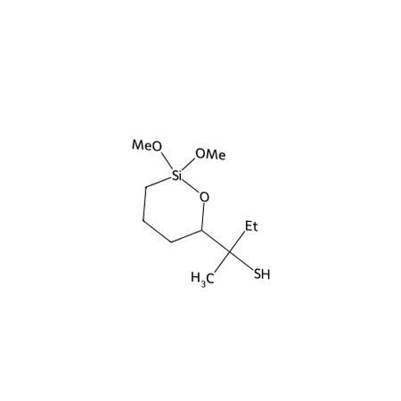 CCC(C)(S)C1CCC[Si](OC)(OC)O1